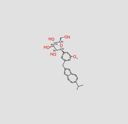 COc1cc(Cc2cc3ccc(C(C)C)ccc-3c2)cc([C@@H]2O[C@H](CO)[C@@H](O)[C@H](O)[C@H]2O)c1